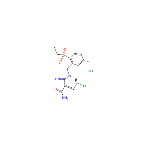 CCS(=O)(=O)c1ccc(C)cc1Cn1cc(Cl)cc(C(N)=O)c1=N.Cl